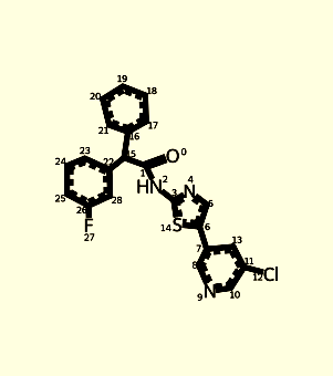 O=C(Nc1ncc(-c2cncc(Cl)c2)s1)C(c1ccccc1)c1cccc(F)c1